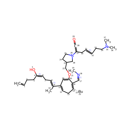 C=CCC/C(O)=C\C/C=C(\C)C1=CCC([C@@H](C)CC)=C(/C=N\C)C(OCC2CCN(C(=C=O)C/C=C/CCN(C)C)C2)=C1